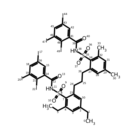 CCc1cc(CC)c(S(=O)(=O)NC(=O)c2cc(I)cc(I)c2I)c(CCCc2cc(C)cc(C)c2S(=O)(=O)NC(=O)c2cc(I)cc(I)c2I)c1